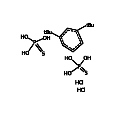 CC(C)(C)c1cccc(C(C)(C)C)c1.Cl.Cl.OP(O)(O)=S.OP(O)(O)=S